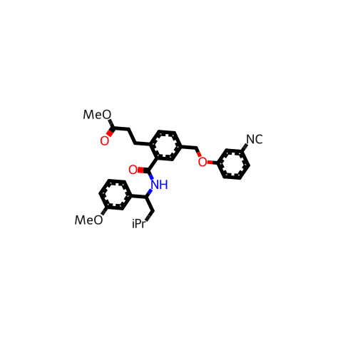 [C-]#[N+]c1cccc(OCc2ccc(CCC(=O)OC)c(C(=O)NC(CC(C)C)c3cccc(OC)c3)c2)c1